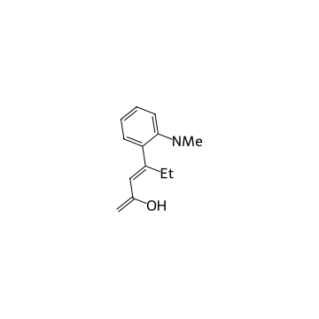 C=C(O)/C=C(\CC)c1ccccc1NC